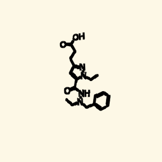 CCN(Cc1ccccc1)NC(=O)c1cc(CCC(=O)O)nn1CC